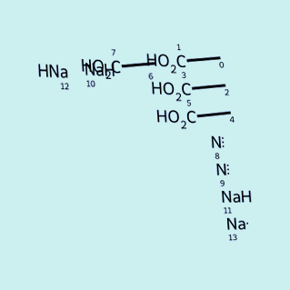 CC(=O)O.CC(=O)O.CC(=O)O.CC(=O)O.[N].[N].[NaH].[NaH].[NaH].[Na]